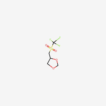 O=S(=O)(CC1COCO1)C(F)(F)F